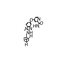 CNC(=O)c1cc(Oc2ccc3c(c2)nc(NCC2CC[C@H]4C[C@@H]2C4(C)C)n3C)ccn1